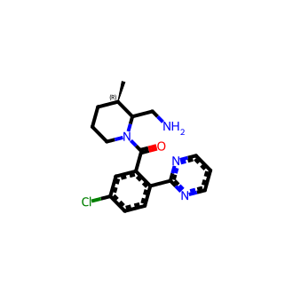 C[C@@H]1CCCN(C(=O)c2cc(Cl)ccc2-c2ncccn2)C1CN